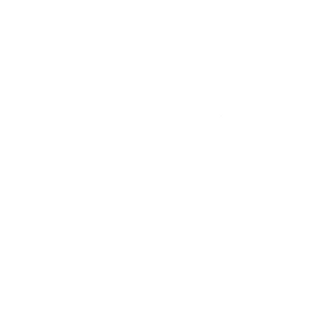 CCCCC1CCC(c2cccc(F)c2)CC1